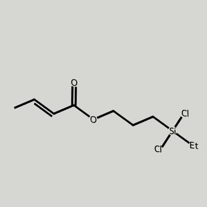 CC=CC(=O)OCCC[Si](Cl)(Cl)CC